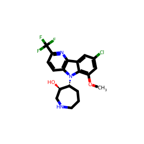 COc1cc(Cl)cc2c3nc(C(F)(F)F)ccc3n([C@@H]3CCCNC[C@H]3O)c12